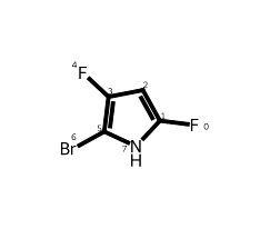 Fc1cc(F)c(Br)[nH]1